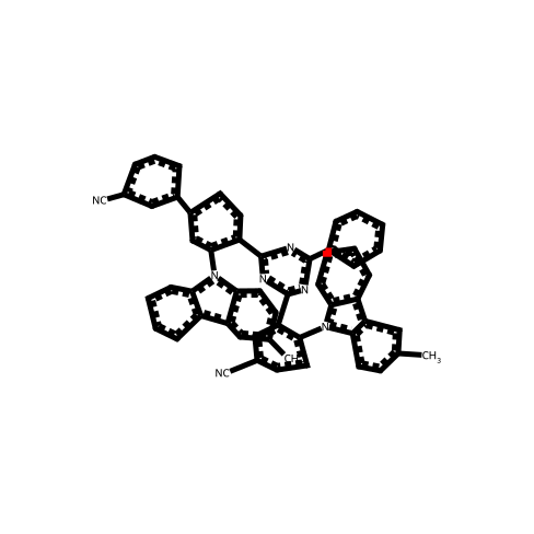 Cc1ccc2c(c1)c1ccccc1n2-c1ccc(C#N)cc1-c1nc(-c2ccccc2)nc(-c2ccc(-c3cccc(C#N)c3)cc2-n2c3ccccc3c3cc(C)ccc32)n1